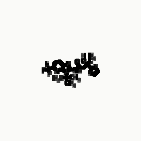 CC(O)(CC(=O)Nc1nc2ccc(C(F)(F)F)nc2n1C(C)(C)C)c1nccs1